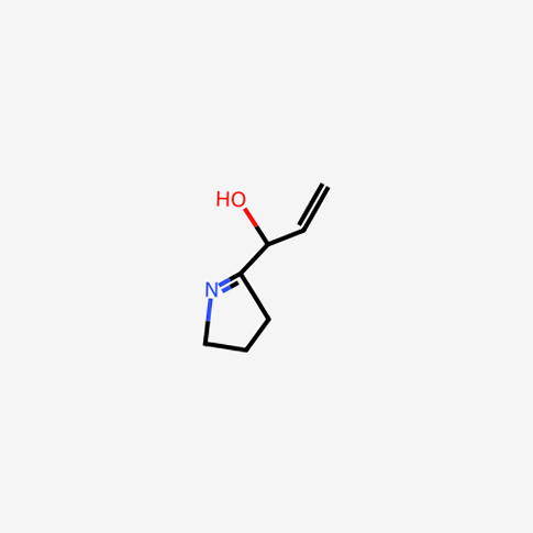 C=CC(O)C1=NCCC1